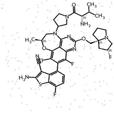 CC(C)[C@H](N)C(=O)N1CCC(N2C[C@H](C)Oc3c(Cl)c(-c4ccc(F)c5sc(N)c(C#N)c45)c(F)c4nc(OC[C@@]56CCCN5C[C@H](F)C6)nc2c34)C1